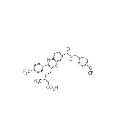 CC(CCc1nc2cc(C(=O)NCc3ccc(OC(F)(F)F)cc3)ccc2nc1-c1ccc(C(F)(F)F)cc1)CC(=O)O